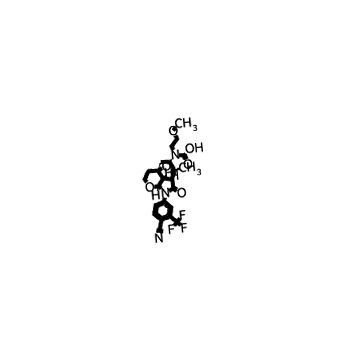 COCCN(C(=O)O)[C@H]1C[C@@]23CCO[C@H]4[C@@H]2[C@H](C(=O)N4c2ccc(C#N)c(C(F)(F)F)c2)[C@]1(C)O3